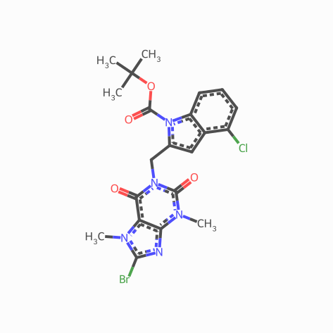 Cn1c(Br)nc2c1c(=O)n(Cc1cc3c(Cl)cccc3n1C(=O)OC(C)(C)C)c(=O)n2C